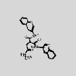 O=C(CC(C(=O)NC1=CN=C2C=CC=CC2C1)C(=O)Nc1cnc2c(c1)=CCCC=2)NO